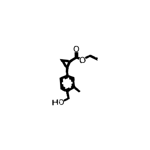 CCOC(=O)C1CC1c1ccc(CO)c(C)c1